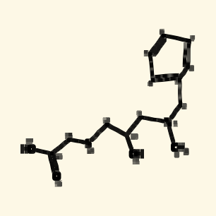 CN(Cc1ccccc1)CC(O)CSCC(=O)O